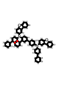 c1ccc(-c2ccc(N(c3ccc(-c4ccc(N(c5ccc(-c6ccccc6)cc5)c5ccc6oc7ccccc7c6c5)c(-c5ccccc5)c4)cc3)c3ccc4oc5ccccc5c4c3)cc2)cc1